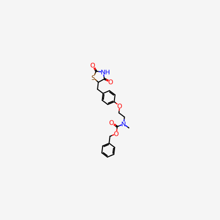 CN(CCOc1ccc(CC2SC(=O)NC2=O)cc1)C(=O)OCc1ccccc1